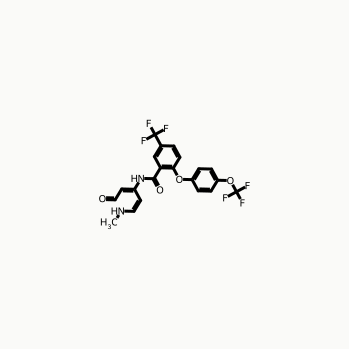 CN/C=C\C(=C/C=O)NC(=O)c1cc(C(F)(F)F)ccc1Oc1ccc(OC(F)(F)F)cc1